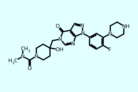 CN(C)C(=O)N1CCC(O)(Cn2cnc3c(cnn3-c3ccc(F)c(N4CCNCC4)c3)c2=O)CC1